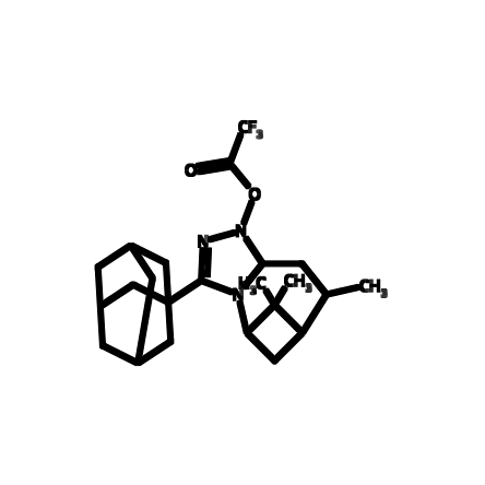 CC1CC2N(OC(=O)C(F)(F)F)N=C(C34CC5CC(CC(C5)C3)C4)N2C2CC1C2(C)C